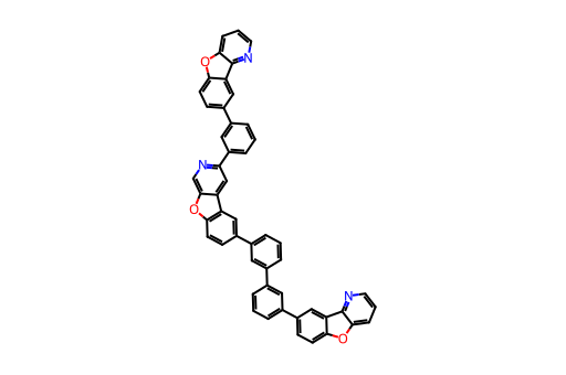 c1cc(-c2cccc(-c3ccc4oc5cccnc5c4c3)c2)cc(-c2ccc3oc4cnc(-c5cccc(-c6ccc7oc8cccnc8c7c6)c5)cc4c3c2)c1